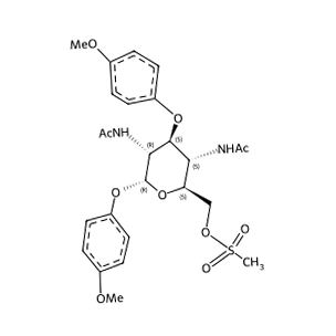 COc1ccc(O[C@H]2O[C@H](COS(C)(=O)=O)[C@@H](NC(C)=O)[C@H](Oc3ccc(OC)cc3)[C@H]2NC(C)=O)cc1